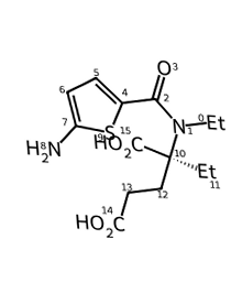 CCN(C(=O)c1ccc(N)s1)[C@@](CC)(CCC(=O)O)C(=O)O